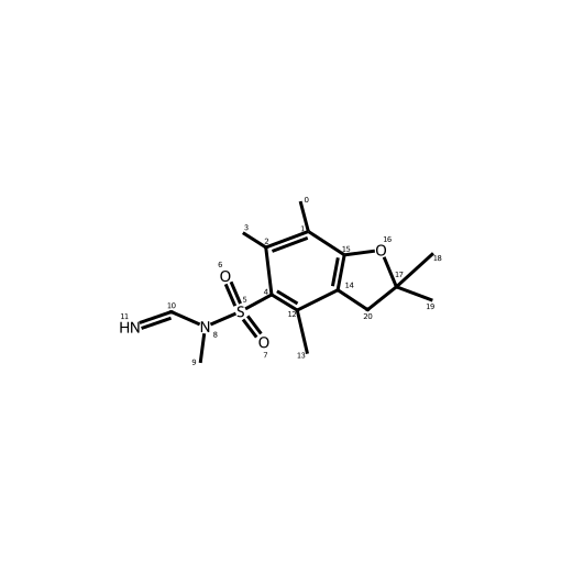 Cc1c(C)c(S(=O)(=O)N(C)C=N)c(C)c2c1OC(C)(C)C2